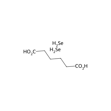 O=C(O)CCCCC(=O)O.[SeH2].[SeH2]